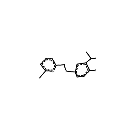 Cc1cccc(COc2ccc(F)c(C(C)C)c2)n1